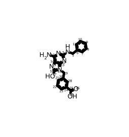 Nc1nc(NCc2ccccc2)nc2c1nc(O)n2Cc1cccc(C(=O)O)c1